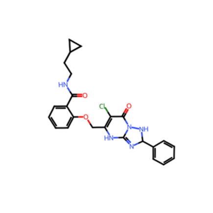 O=C(NCCC1CC1)c1ccccc1OCC1=C(Cl)C(=O)N2NC(c3ccccc3)N=C2N1